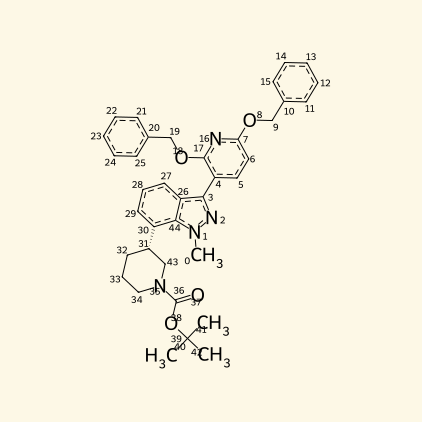 Cn1nc(-c2ccc(OCc3ccccc3)nc2OCc2ccccc2)c2cccc([C@H]3CCCN(C(=O)OC(C)(C)C)C3)c21